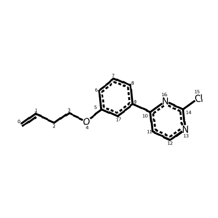 C=CCCOc1cccc(-c2ccnc(Cl)n2)c1